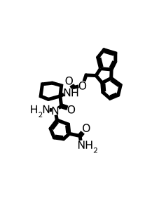 NC(=O)c1cccc(N(N)C(=O)C2(NC(=O)OCC3c4ccccc4-c4ccccc43)CCCCC2)c1